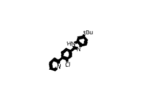 CC(C)(C)c1ccc2nc(-c3ccc(-c4ccccn4)c(Cl)c3)[nH]c2c1